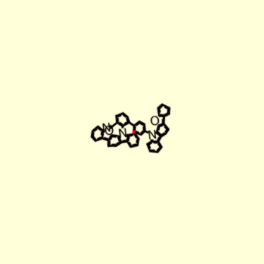 N#Cc1cccc(-c2ccc(-n3c4ccccc4c4ccc5c6ccccc6oc5c43)cc2)c1-n1c2ccccc2c2ccc3c4ccccc4oc3c21